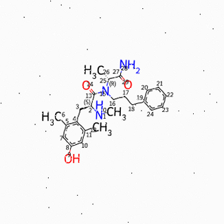 CN[C@@H](Cc1c(C)cc(O)cc1C)C(=O)N(CCCc1ccccc1)[C@H](C)C(N)=O